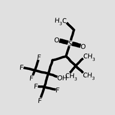 CCS(=O)(=O)C(CC(O)(C(F)(F)F)C(F)(F)F)C(C)(C)C